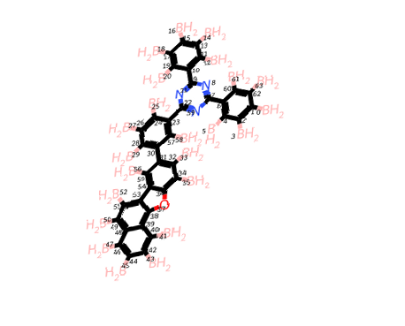 Bc1c(B)c(B)c(-c2nc(-c3c(B)c(B)c(B)c(B)c3B)nc(-c3c(B)c(B)c(B)c(-c4c(B)c(B)c5oc6c7c(B)c(B)c(B)c(B)c7c(B)c(B)c6c5c4B)c3B)n2)c(B)c1B